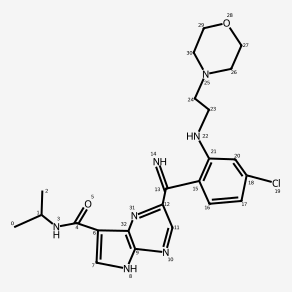 CC(C)NC(=O)c1c[nH]c2ncc(C(=N)c3ccc(Cl)cc3NCCN3CCOCC3)nc12